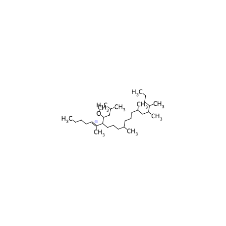 CCCC/C=C(\C)C(CCCC(C)CCCC(C)CC(C)C(C)CCC)C(CC(C)C)OC